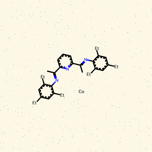 CCc1cc(CC)c(N=C(C)c2cccc(C(C)=Nc3c(CC)cc(CC)cc3CC)n2)c(CC)c1.[Co]